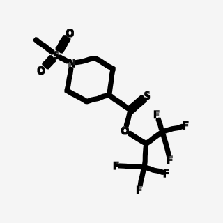 CS(=O)(=O)N1CCC(C(=S)OC(C(F)(F)F)C(F)(F)F)CC1